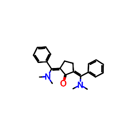 CN(C)C(=C1CCC(=C(c2ccccc2)N(C)C)C1=O)c1ccccc1